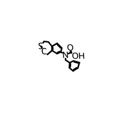 O=C(O)N(Cc1ccccc1)c1ccc2c(c1)CCSCC2